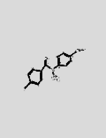 COc1ccc(N(N)C(=O)c2ccc(C)cc2)cc1.Cl